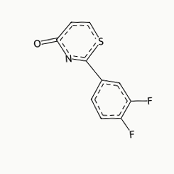 O=c1ccsc(-c2ccc(F)c(F)c2)n1